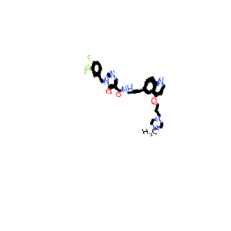 CN1CCN(CCCOc2ccnc3ccc(C#CCNC(=O)c4cncn(Cc5ccc(F)c(F)c5)c4=O)cc23)CC1